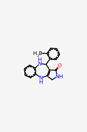 Bc1ccccc1C1Nc2ccccc2NC2=C1C(=O)NC2